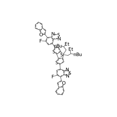 CCCCC(CC)C[Si]1(CC(CC)CCCC)c2cc(-c3cc(F)c(-c4cc5ccccc5o4)c4nsnc34)sc2-c2sc(-c3cc(F)c(-c4cc5ccccc5o4)c4nsnc34)cc21